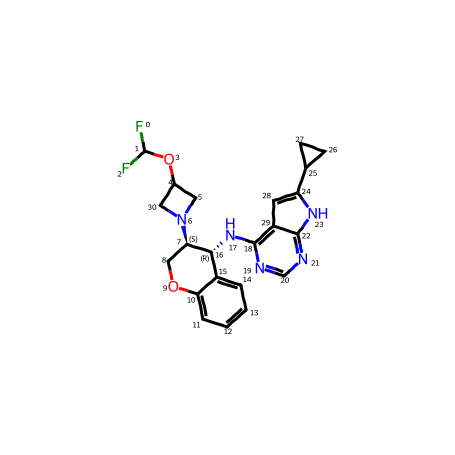 FC(F)OC1CN([C@@H]2COc3ccccc3[C@H]2Nc2ncnc3[nH]c(C4CC4)cc23)C1